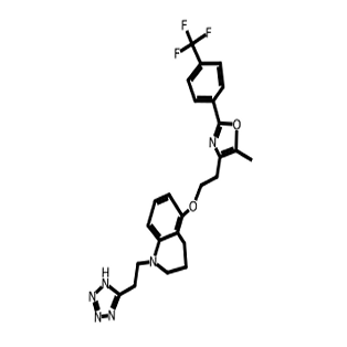 Cc1oc(-c2ccc(C(F)(F)F)cc2)nc1CCOc1cccc2c1CCCN2CCc1nnn[nH]1